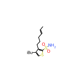 CC=CCCCc1c(C(C)CC)csc1S(N)(=O)=O